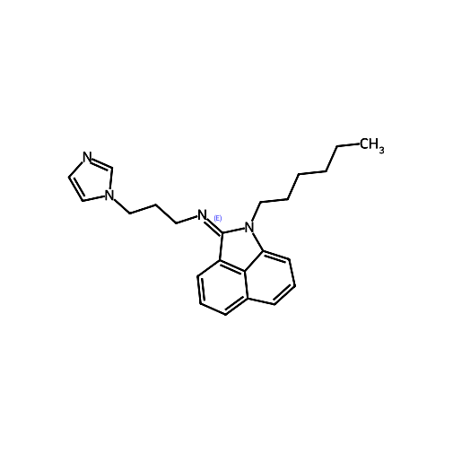 CCCCCCN1/C(=N/CCCn2ccnc2)c2cccc3cccc1c23